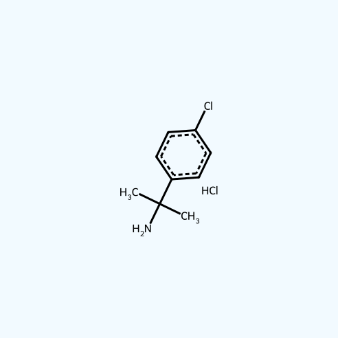 CC(C)(N)c1ccc(Cl)cc1.Cl